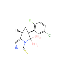 BC1(B)n2c(c[nH]c2=S)[C@@H]2C[C@@]21c1cc(Cl)ccc1F